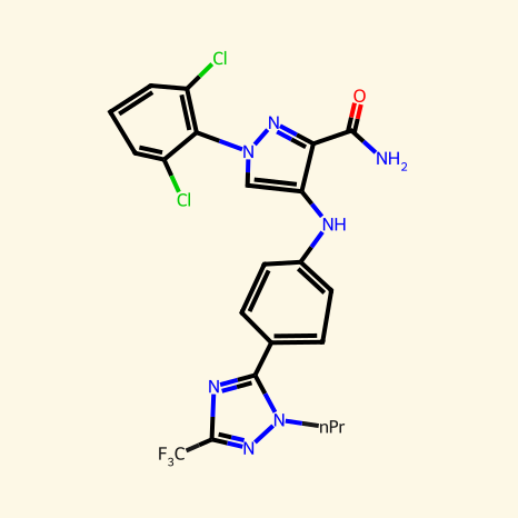 CCCn1nc(C(F)(F)F)nc1-c1ccc(Nc2cn(-c3c(Cl)cccc3Cl)nc2C(N)=O)cc1